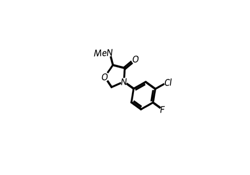 CNC1OCN(c2ccc(F)c(Cl)c2)C1=O